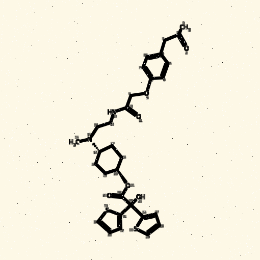 CC(=O)Cc1ccc(OCC(=O)NCCN(C)[C@H]2CC[C@H](OC(=O)C(O)(c3cccs3)c3cccs3)CC2)cc1